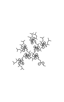 CCOC(=O)CCSP(=O)(OC(C)COP(=O)(OC(C)CSP(=O)(OC(C)CC(C)C)OC(C)CC(C)C)OC(C)CSP(=O)(OC(C)CC(C)C)OC(C)CC(C)C)OC(C)CSP(=O)(OC(C)COP(=O)(OC(C)CC(C)C)SC(C)CC(C)C)OC(C)CSP(=O)(OC(C)CC(C)C)OC(C)CC(C)C